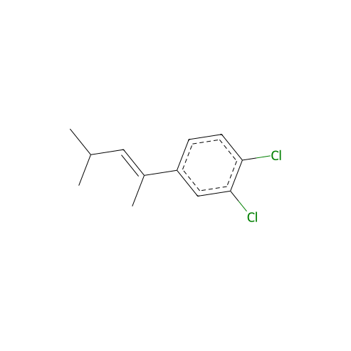 C/C(=C\C(C)C)c1ccc(Cl)c(Cl)c1